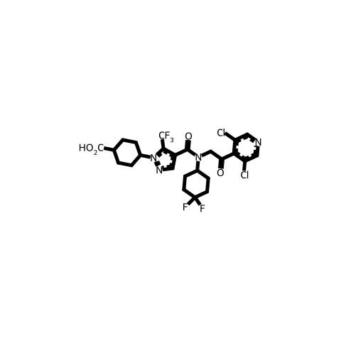 O=C(CN(C(=O)c1cnn(C2CCC(C(=O)O)CC2)c1C(F)(F)F)C1CCC(F)(F)CC1)c1c(Cl)cncc1Cl